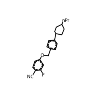 CCCC1CCC(c2ccc(COc3ccc(C#N)c(F)c3)cc2)CC1